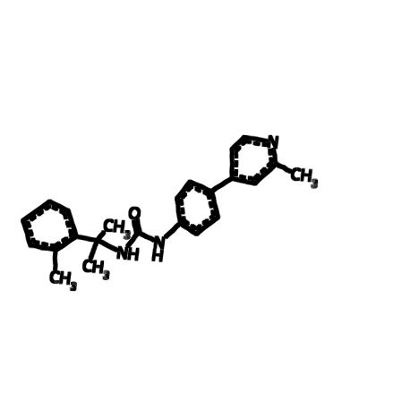 Cc1cc(-c2ccc(NC(=O)NC(C)(C)c3ccccc3C)cc2)ccn1